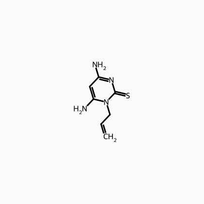 C=CCn1c(N)cc(N)nc1=S